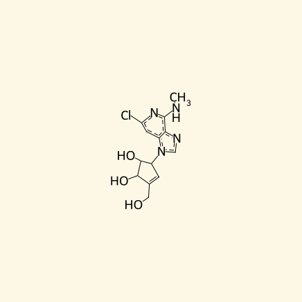 CNc1nc(Cl)cc2c1ncn2C1C=C(CO)C(O)C1O